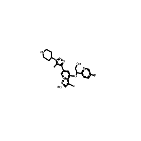 Cc1c(-c2cc(OC(CO)c3ccc(F)cn3)c3c(F)cnn3c2)nnn1C1CCNCC1.Cl